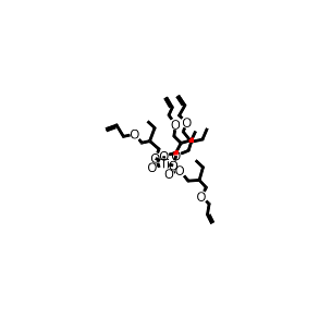 C=CCOCC(CC)CO[O][Ti](=[O])([O]CC(CC)COCC=C)([O]CC(CC)COCC=C)[O]OCC(CC)COCC=C